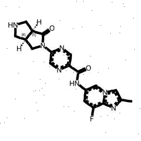 Cc1cn2cc(NC(=O)c3cnc(N4C[C@H]5CNC[C@H]5C4=O)cn3)cc(F)c2n1